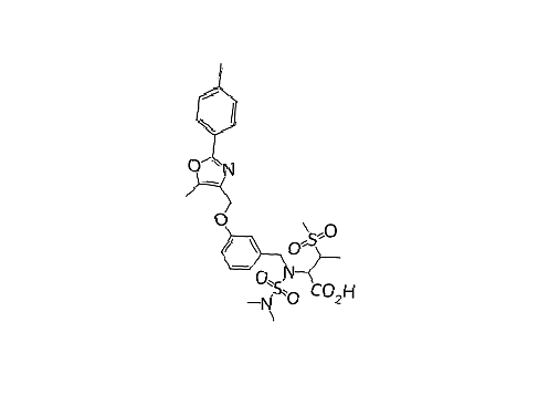 Cc1ccc(-c2nc(COc3cccc(CN(C(C(=O)O)C(C)S(C)(=O)=O)S(=O)(=O)N(C)C)c3)c(C)o2)cc1